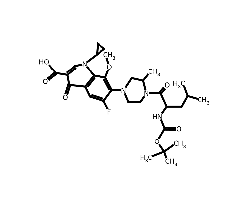 COc1c(N2CCN(C(=O)C(CC(C)C)NC(=O)OC(C)(C)C)C(C)C2)c(F)cc2c(=O)c(C(=O)O)cn(C3CC3)c12